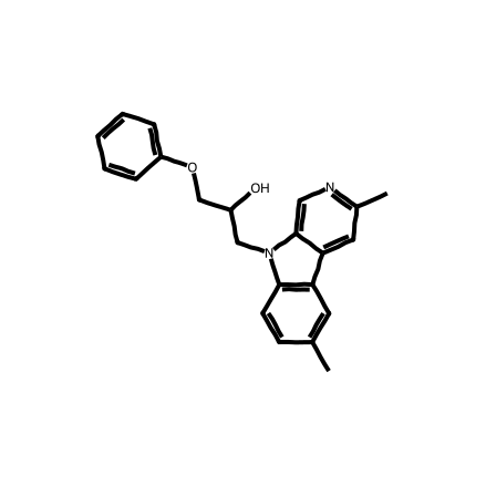 Cc1ccc2c(c1)c1cc(C)ncc1n2CC(O)COc1ccccc1